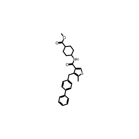 COC(=O)C1CCC(NC(=O)c2csc(C)c2Cc2ccc(-c3ccccc3)cc2)CC1